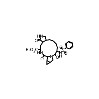 CCOC(=O)C1CC2C(=O)NCC2CCCCC(NS(=O)(=O)c2ccccc2)C(=O)N2CC3CC3C2C(=O)N1